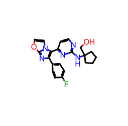 OCC1(Nc2nccc(-c3c(-c4ccc(F)cc4)nc4occn34)n2)CCCC1